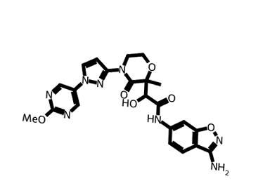 COc1ncc(-n2ccc(N3CCOC(C)(C(O)C(=O)Nc4ccc5c(N)noc5c4)C3=O)n2)cn1